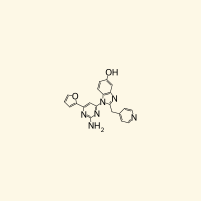 Nc1nc(-c2ccco2)cc(-n2c(Cc3ccncc3)nc3cc(O)ccc32)n1